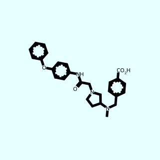 CN(Cc1ccc(C(=O)O)cc1)C1CCN(CC(=O)Nc2ccc(Oc3ccccc3)cc2)C1